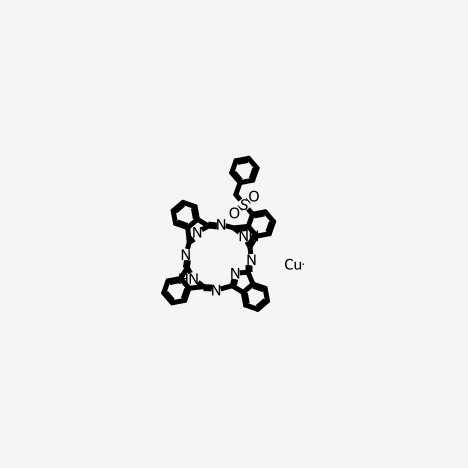 O=S(=O)(Cc1ccccc1)c1cccc2c3nc4nc(nc5[nH]c(nc6nc(nc([nH]3)c12)-c1ccccc1-6)c1ccccc51)-c1ccccc1-4.[Cu]